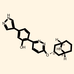 Oc1cc(-c2cn[nH]c2)ccc1-c1ccc(O[C@H]2C[C@H]3CCC[C@@H](C2)N3)nn1